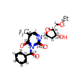 CCOC[C@H]1O[C@@H](n2cc(C(F)(F)F)c(=O)n(C(=O)c3ccccc3)c2=O)C[C@@H]1O